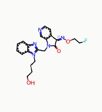 O=C1/C(=N\OCCF)c2ccncc2N1Cc1nc2ccccc2n1CCCCO